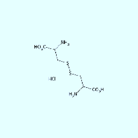 Cl.NC(CSSCC(N)C(=O)O)C(=O)O